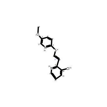 COc1ccc(S/C=C/c2ncccc2Cl)nc1